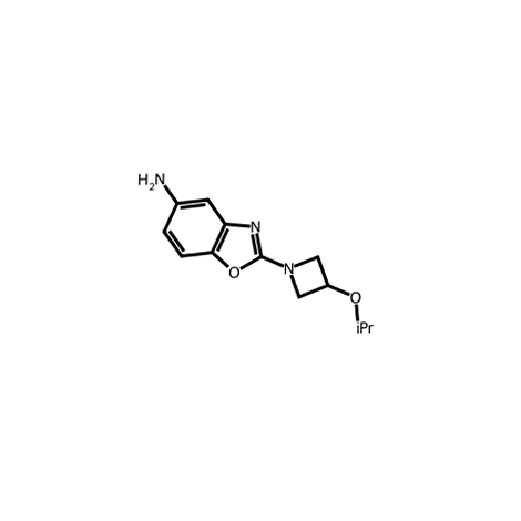 CC(C)OC1CN(c2nc3cc(N)ccc3o2)C1